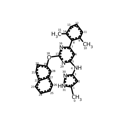 Cc1cc(Nc2cc(-c3c(C)cccc3C)nc(Oc3ccc4ccccc4c3)n2)n[nH]1